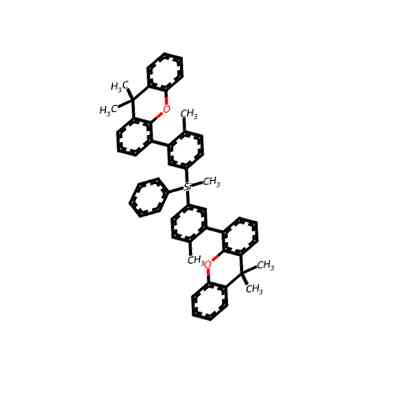 Cc1ccc([Si](C)(c2ccccc2)c2ccc(C)c(-c3cccc4c3Oc3ccccc3C4(C)C)c2)cc1-c1cccc2c1Oc1ccccc1C2(C)C